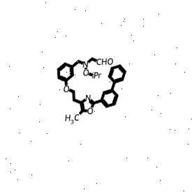 Cc1oc(-c2cccc(-c3ccccc3)c2)nc1CCOc1[c]c(CN(CC=O)OC(C)C)ccc1